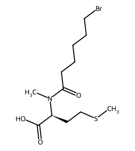 CSCC[C@@H](C(=O)O)N(C)C(=O)CCCCCBr